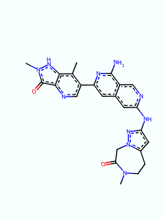 Cc1c(-c2cc3cc(Nc4cc5n(n4)CC(=O)N(C)CC5)ncc3c(N)n2)cnc2c(=O)n(C)[nH]c12